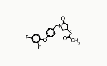 CC(=O)SC1CC(=O)N(Cc2ccc(Oc3ccc(F)cc3F)cc2)C1